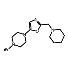 CC(C)N1CCN(c2[c]nc(CN3CCCCC3)o2)CC1